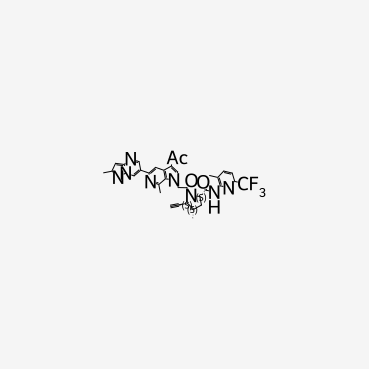 C#C[C@@H]1[C@@H](C)C[C@@H](C(=O)Nc2nc(C(F)(F)F)ccc2C)N1C(=O)Cn1cc(C(C)=O)c2cc(-c3cnc4cc(C)nn4c3)nc(C)c21